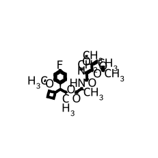 C=N/C(C(=O)N[C@@H](C)C(=O)O[C@@H](C)[C@H](c1ccc(F)cc1OC)C1CCC1)=C(OC(C)=O)\C(=C/C)OC